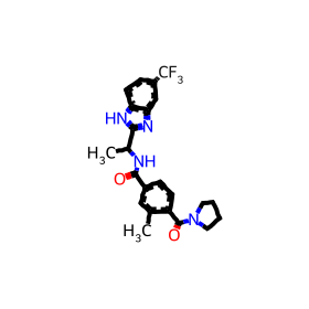 Cc1cc(C(=O)NC(C)c2nc3cc(C(F)(F)F)ccc3[nH]2)ccc1C(=O)N1CCCC1